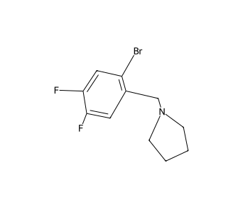 Fc1cc(Br)c(CN2CCCC2)cc1F